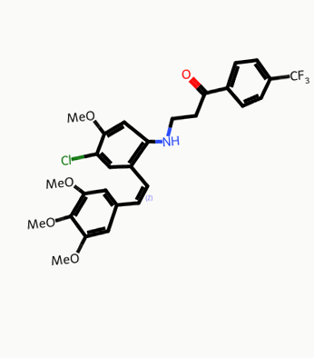 COc1cc(NCCC(=O)c2ccc(C(F)(F)F)cc2)c(/C=C\c2cc(OC)c(OC)c(OC)c2)cc1Cl